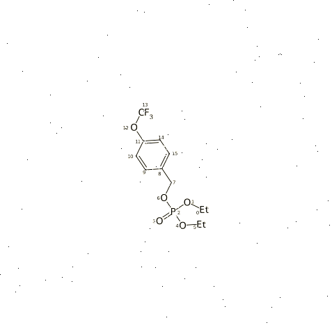 CCOP(=O)(OCC)OCc1ccc(OC(F)(F)F)cc1